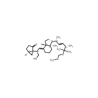 COCOC(C)(C)[C@@H](C)/C=C/[C@@H](C)[C@H]1CC[C@H]2/C(=C/[C@@H](CO)[C@]34C[C@H]3CCC4=O)CCC[C@]12C